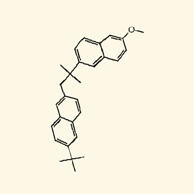 COc1ccc2cc(C(C)(C)Cc3ccc4cc(C(C)(C)C)ccc4c3)ccc2c1